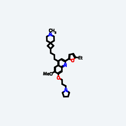 CCc1ccc(-c2cc(CCCC3CC4(CCN(C)CC4)C3)c3cc(OC)c(OCCCN4CCCC4)cc3n2)o1